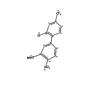 COc1cc(-c2ccc(C(F)(F)F)cc2Cl)ccc1[N+](=O)[O-]